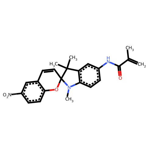 C=C(C)C(=O)Nc1ccc2c(c1)C(C)(C)C1(C=Cc3cc([N+](=O)[O-])ccc3O1)N2C